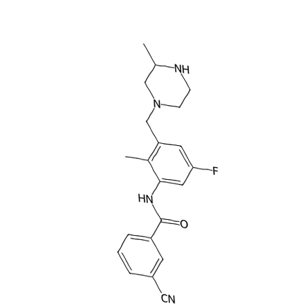 Cc1c(CN2CCNC(C)C2)cc(F)cc1NC(=O)c1cccc(C#N)c1